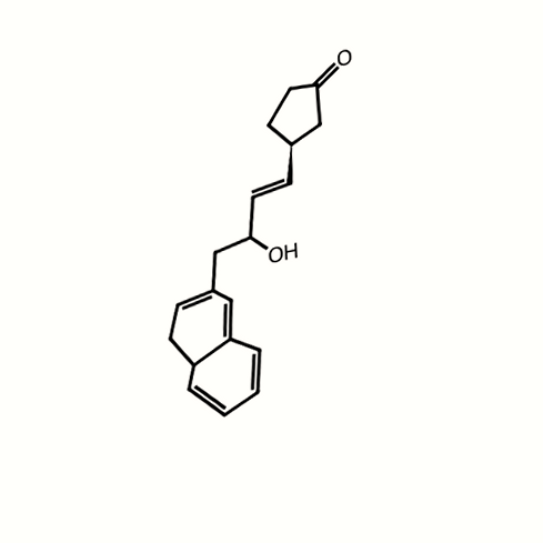 O=C1CC[C@H](/C=C/C(O)CC2=CCC3C=CC=CC3=C2)C1